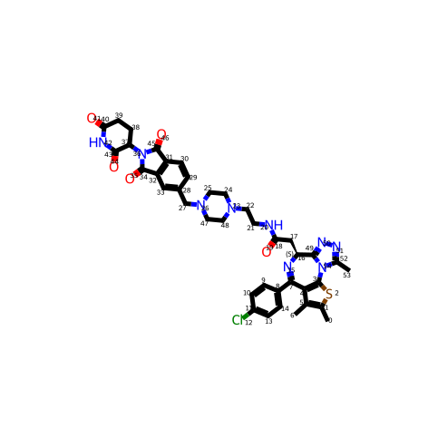 Cc1sc2c(c1C)C(c1ccc(Cl)cc1)=N[C@@H](CC(=O)NCCN1CCN(Cc3ccc4c(c3)C(=O)N(C3CCC(=O)NC3=O)C4=O)CC1)c1nnc(C)n1-2